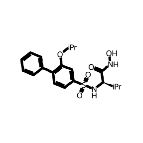 CC(C)Oc1cc(S(=O)(=O)N[C@@H](C(=O)NO)C(C)C)ccc1-c1ccccc1